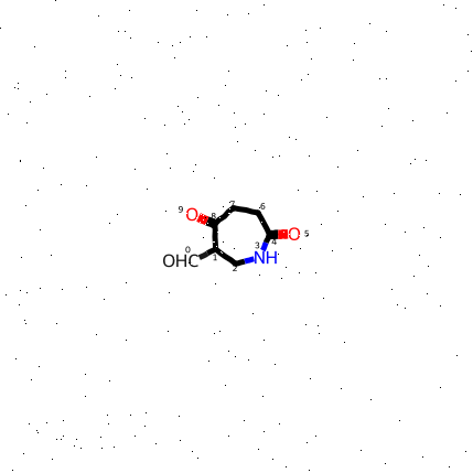 O=CC1CNC(=O)CCC1=O